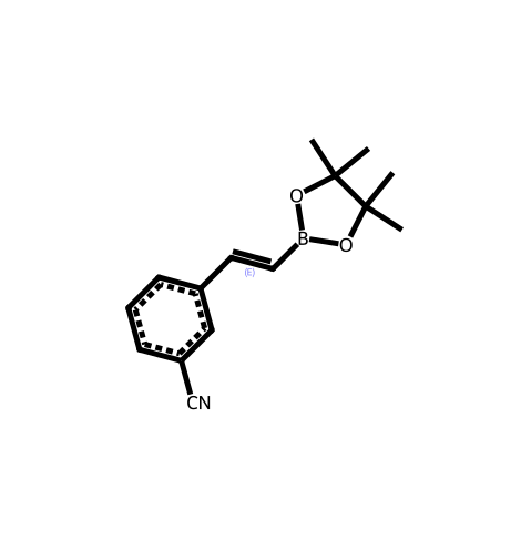 CC1(C)OB(/C=C/c2cccc(C#N)c2)OC1(C)C